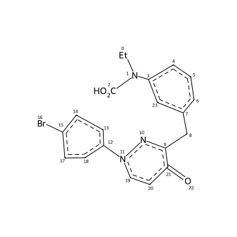 CCN(C(=O)O)c1cccc(Cc2nn(-c3ccc(Br)cc3)ccc2=O)c1